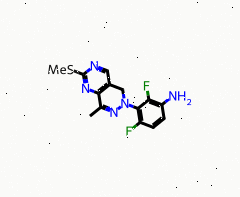 CSc1ncc2c(n1)C(C)=NN(c1c(F)ccc(N)c1F)C2